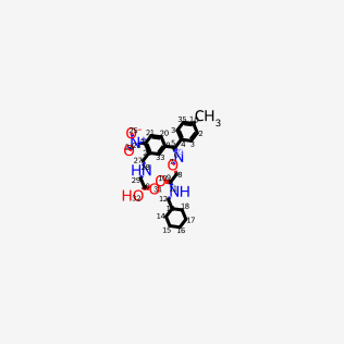 Cc1ccc(/C(=N/OCC(=O)NCC2CCCCC2)c2ccc([N+](=O)[O-])c(CNCC(=O)O)c2)cc1